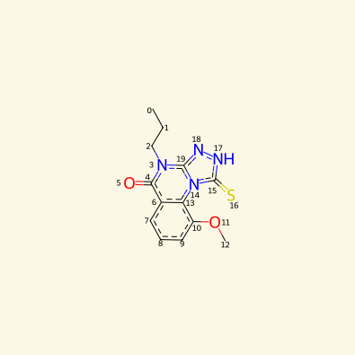 CCCn1c(=O)c2cccc(OC)c2n2c(=S)[nH]nc12